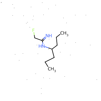 CCCC(CCC)NC(=N)CF